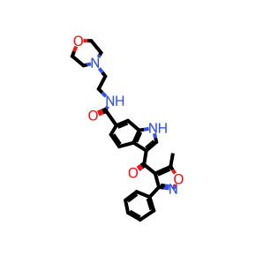 Cc1onc(-c2ccccc2)c1C(=O)c1c[nH]c2cc(C(=O)NCCN3CCOCC3)ccc12